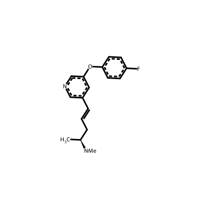 CN[C@@H](C)C/C=C/c1cncc(Oc2ccc(F)cc2)c1